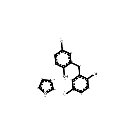 Oc1ccc(Cl)cc1Cc1cc(Cl)ccc1O.c1cocn1